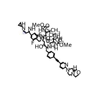 COC(=O)N[C@H](C(=O)N[C@@H](Cc1ccc(C#Cc2ccc(N3CCN4CCOC[C@H]4C3)nc2)cc1)[C@@H](O)CN(Cc1c(F)cc(C(=N)/C=C\NC2CC2)cc1F)NC(=O)[C@@H](NC(=O)OC)C(C)(C)C(F)(F)F)C(C)(C)C(F)(F)F